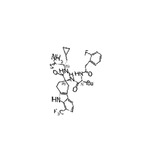 CCC(C)[C@H](NC(=O)Cc1ccccc1F)C(=O)N[C@]1(C(=O)N[C@@H](CC2CC2)C(N)=S)CCc2[nH]c3c(C(F)(F)F)cccc3c2C1